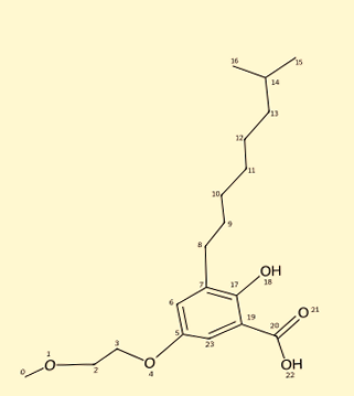 COCCOc1cc(CCCCCCC(C)C)c(O)c(C(=O)O)c1